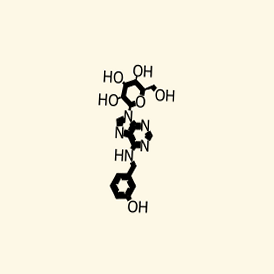 OC[C@H]1O[C@@H](n2cnc3c(NCc4cccc(O)c4)ncnc32)[C@H](O)[C@@H](O)[C@@H]1O